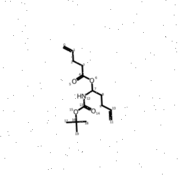 C=CCCC(=O)OC(CCC=C)NC(=O)OC(C)(C)C